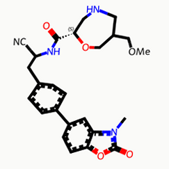 COCC1CNC[C@@H](C(=O)NC(C#N)Cc2ccc(-c3ccc4oc(=O)n(C)c4c3)cc2)OC1